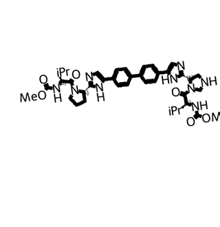 COC(=O)N[C@H](C(=O)N1CCC[C@H]1c1ncc(-c2ccc(-c3ccc(-c4cnc([C@@H]5CNCN5C(=O)[C@@H](NC(=O)OC)C(C)C)[nH]4)cc3)cc2)[nH]1)C(C)C